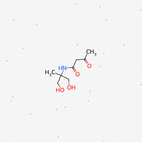 CC(=O)CC(=O)NC(C)(CO)CO